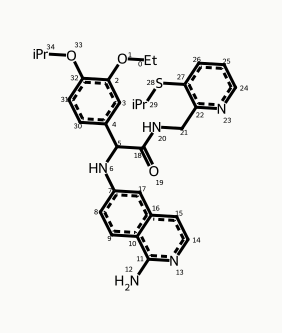 CCOc1cc(C(Nc2ccc3c(N)nccc3c2)C(=O)NCc2ncccc2SC(C)C)ccc1OC(C)C